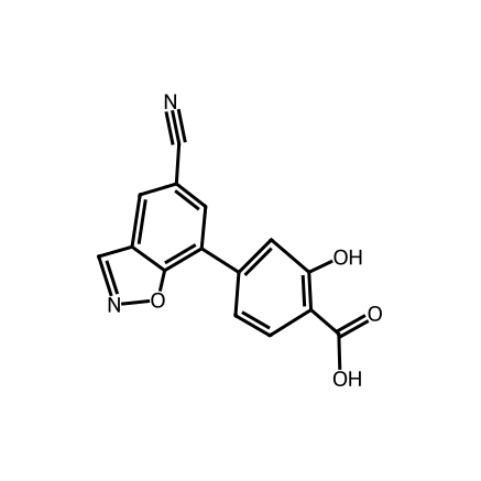 N#Cc1cc(-c2ccc(C(=O)O)c(O)c2)c2oncc2c1